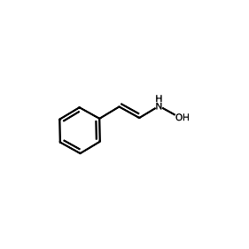 ONC=Cc1ccccc1